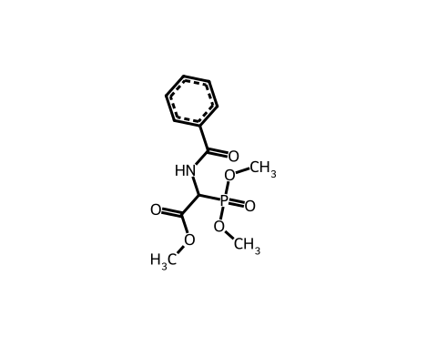 COC(=O)C(NC(=O)c1ccccc1)P(=O)(OC)OC